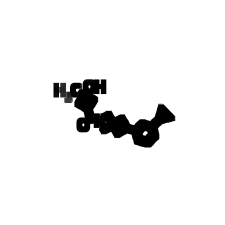 CC1(O)CC(C(=O)N2CC3(CC(c4cccc(C5CC5)c4)C3)C2)C1